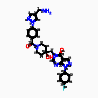 NCc1cnn(-c2ccc(C(=O)N3CCC(O)(Cn4cnc5c(cnn5-c5ccc(F)cc5)c4=O)CC3)cc2)c1